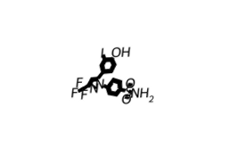 NS(=O)(=O)c1ccc(-n2nc(C(F)(F)F)cc2-c2ccc(O)c(I)c2)cc1